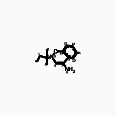 CCC(C)(C)N1C=C(N)c2ccccc2O1